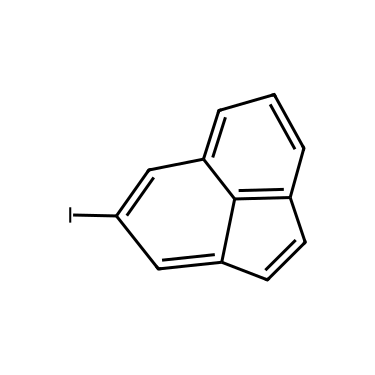 Ic1cc2c3c(cccc3c1)C=C2